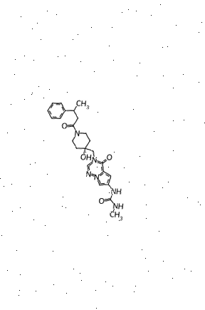 CNC(=O)Nc1cc2c(=O)n(CC3(O)CCN(C(=O)CC(C)c4ccccc4)CC3)cnn2c1